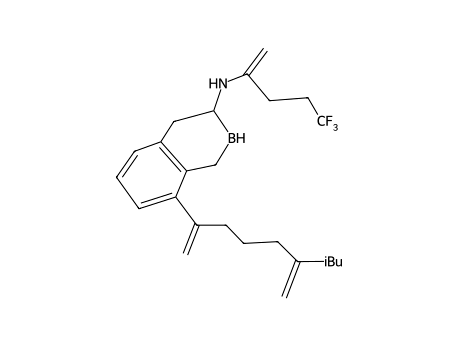 C=C(CCC(F)(F)F)NC1BCc2c(cccc2C(=C)CCCC(=C)C(C)CC)C1